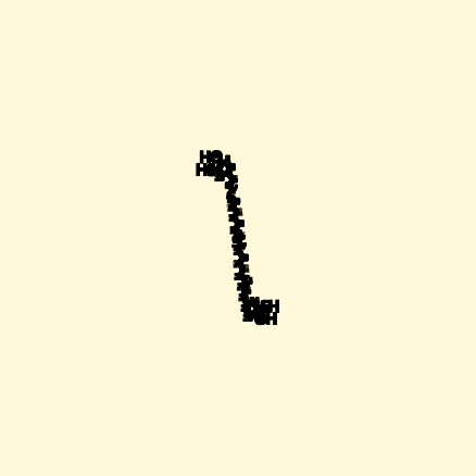 Oc1ccc(CCCSCCCCCCSSCCCCCCSCCCc2ccc(O)c(S)c2)cc1S